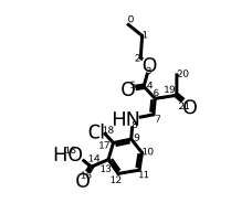 CCCOC(=O)C(=CNc1cccc(C(=O)O)c1Cl)C(C)=O